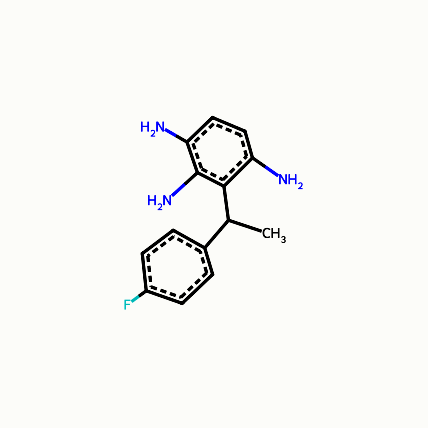 CC(c1ccc(F)cc1)c1c(N)ccc(N)c1N